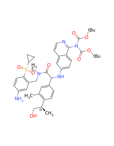 Cc1cc(C(Nc2ccc3c(N(C(=O)OC(C)(C)C)C(=O)OC(C)(C)C)nccc3c2)C(=O)N(C)Cc2cc(N)ccc2S(=O)(=O)C2CC2)ccc1[C@@H](C)CO